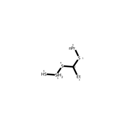 CCCSC(CC)S[SiH2]S